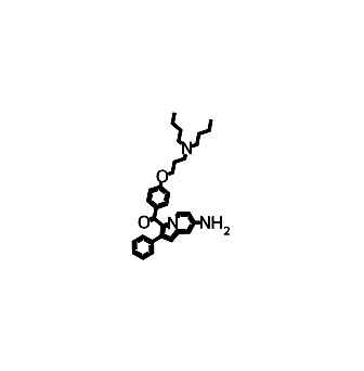 CCCCN(CCCC)CCCOc1ccc(C(=O)c2c(-c3ccccc3)cc3cc(N)ccn23)cc1